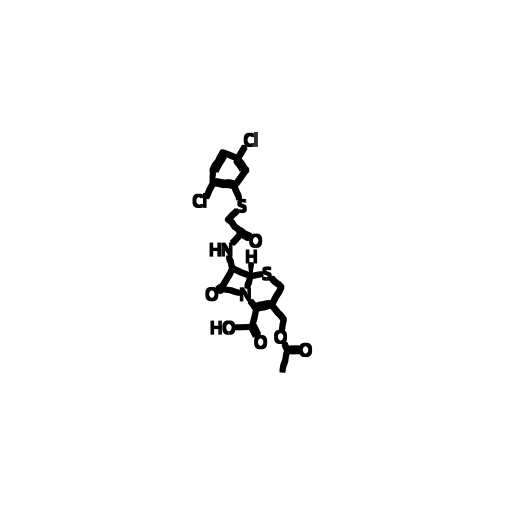 CC(=O)OCC1=C(C(=O)O)N2C(=O)C(NC(=O)CSc3cc(Cl)ccc3Cl)[C@@H]2SC1